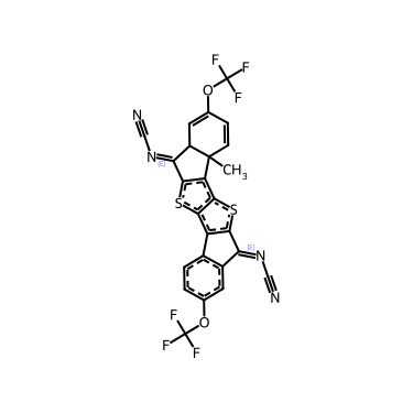 CC12C=CC(OC(F)(F)F)=CC1/C(=N\C#N)c1sc3c4c(sc3c12)/C(=N/C#N)c1cc(OC(F)(F)F)ccc1-4